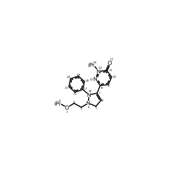 CC(C)OCCN1CC=C(c2ccc(=O)n(C(C)C)n2)N1c1ccccc1